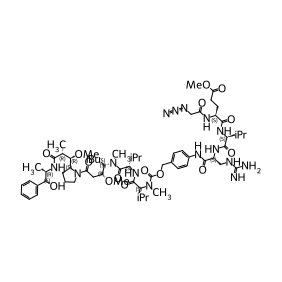 CC[C@H](C)[C@@H]([C@@H](CC(=O)N1CCC[C@H]1[C@H](OC)[C@@H](C)C(=O)N[C@H](C)[C@@H](O)c1ccccc1)OC)N(C)C(=O)[C@@H](NC(=O)[C@H](C(C)C)N(C)C(=O)OCc1ccc(NC(=O)[C@H](CNC(=N)N)NC(=O)[C@@H](NC(=O)[C@H](CCC(=O)OC)NC(=O)CN=[N+]=[N-])C(C)C)cc1)C(C)C